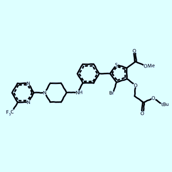 COC(=O)c1sc(-c2cccc(NC3CCN(c4nccc(C(F)(F)F)n4)CC3)c2)c(Br)c1OCC(=O)OC(C)(C)C